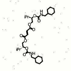 CC(C)[C@H](COC(=O)/C=C/C(=O)OC[C@H](OC(=O)NCC1CCCCC1)C(C)C)OC(=O)NCC1CCCCC1